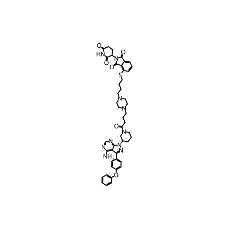 Nc1ncnc2c1c(-c1ccc(Oc3ccccc3)cc1)nn2C1CCCN(C(=O)CCCN2CCN(CCCCSc3cccc4c3C(=O)N(C3CCC(=O)NC3=O)C4=O)CC2)C1